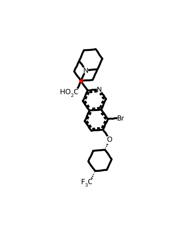 O=C(O)C1CC2CCCC(C1)N2Cc1cc2ccc(O[C@H]3CC[C@@H](C(F)(F)F)CC3)c(Br)c2cn1